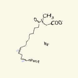 CCCCC/C=C\C/C=C\CCCCCCCC(=O)N(C)CC(=O)[O-].[Na+]